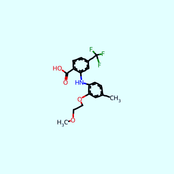 COCCOc1cc(C)ccc1Nc1cc(C(F)(F)F)ccc1C(=O)O